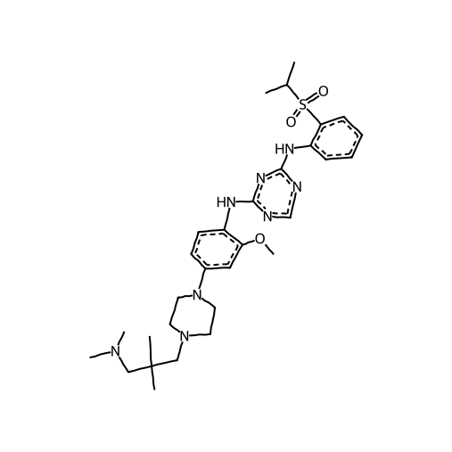 COc1cc(N2CCN(CC(C)(C)CN(C)C)CC2)ccc1Nc1ncnc(Nc2ccccc2S(=O)(=O)C(C)C)n1